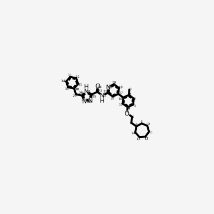 Cc1ccc(OCCC2CCCCCC2)cc1-c1ccnc(NC(=O)c2nnc(Cc3ccccc3)[nH]2)c1